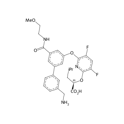 COCCNC(=O)c1cc(Oc2nc(O[C@H](CC(C)C)C(=O)O)c(F)cc2F)cc(-c2cccc(CN)c2)c1